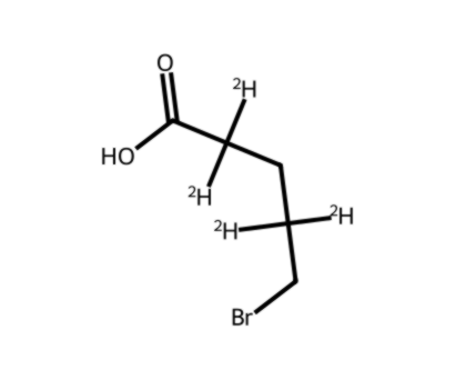 [2H]C([2H])(CBr)CC([2H])([2H])C(=O)O